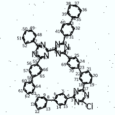 Clc1nc(-c2ccc(-c3ccccc3)cc2)nc(-c2cccc(-c3ccc(-c4nc(-c5ccc(-c6ccccc6)cc5)nc(-c5nc(-c6ccccc6)nc(-c6ccc(-c7ccccc7)cc6)n5)n4)cc3)c2)n1